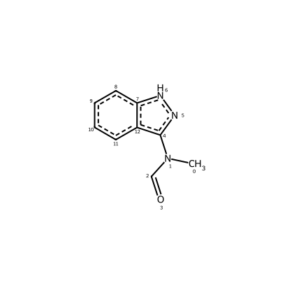 CN(C=O)c1n[nH]c2ccccc12